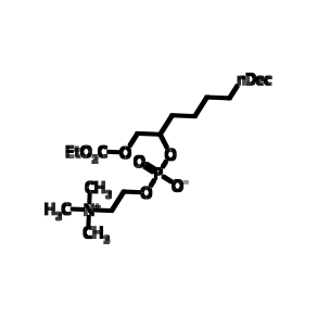 CCCCCCCCCCCCCCC(COC(=O)OCC)OP(=O)([O-])OCC[N+](C)(C)C